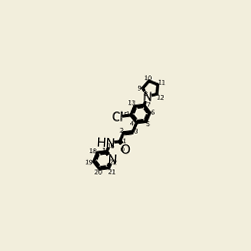 O=C(/C=C/c1ccc(N2CCCC2)cc1Cl)Nc1ccccn1